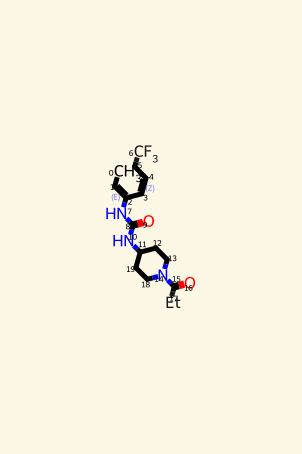 C/C=C(\C=C/CC(F)(F)F)NC(=O)NC1CCN(C(=O)CC)CC1